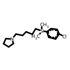 C[Si](C)(CCCCCN1CCCC1)c1ccc(Cl)cc1